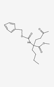 CCCCC(CCC(C)=O)(NC(=O)OCc1ccccc1)C(=O)OC